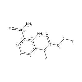 CCOC(=O)C(C)c1cccc(C(N)=O)c1N